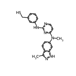 Cc1n[nH]c2cc(N(C)c3ccnc(Nc4cccc(CS)c4)n3)ccc12